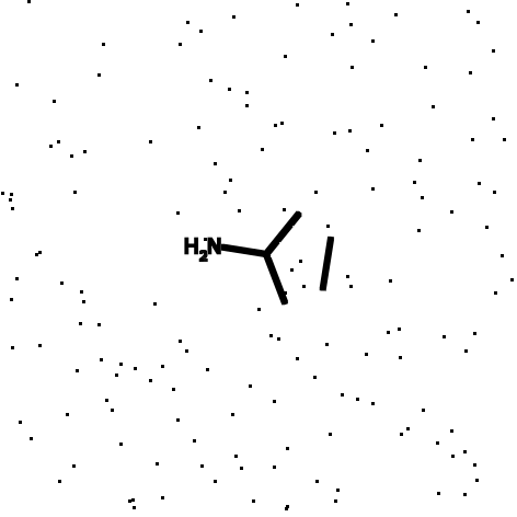 CC.CC(C)N